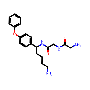 NCCCCC(NC(=O)CNC(=O)CN)c1ccc(Oc2ccccc2)cc1